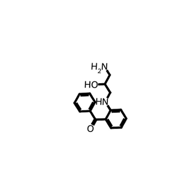 NCC(O)CNc1ccccc1C(=O)c1ccccc1